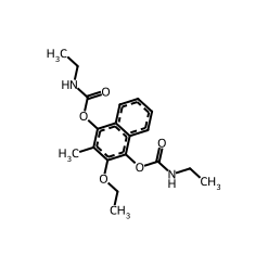 CCNC(=O)Oc1c(C)c(OCC)c(OC(=O)NCC)c2ccccc12